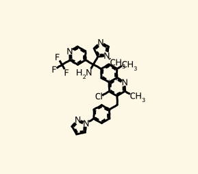 Cc1nc2c(C)cc(C(N)(c3ccnc(C(F)(F)F)c3)c3cncn3C)cc2c(Cl)c1Cc1ccc(-n2cccn2)cc1